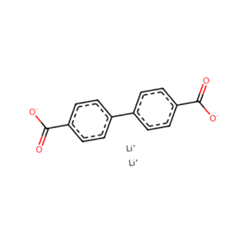 O=C([O-])c1ccc(-c2ccc(C(=O)[O-])cc2)cc1.[Li+].[Li+]